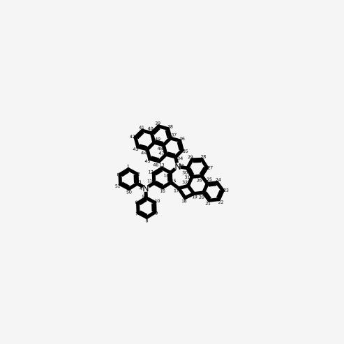 c1ccc(N(c2ccccc2)c2ccc3c(c2)C2CC4c5ccccc5-c5cccc(c5C42)N3c2ccc3ccc4cccc5ccc2c3c45)cc1